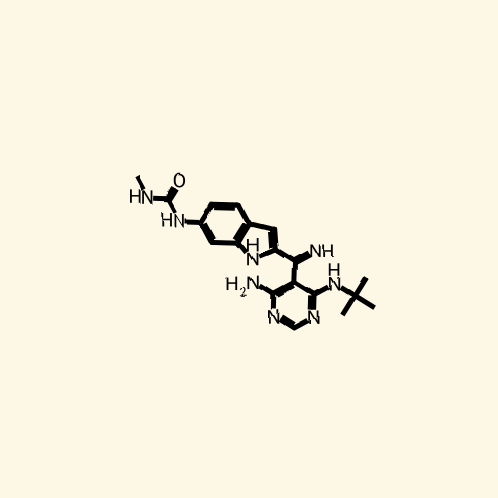 CNC(=O)Nc1ccc2cc(C(=N)c3c(N)ncnc3NC(C)(C)C)[nH]c2c1